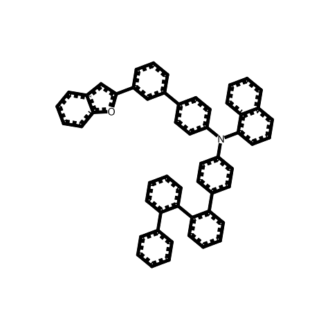 c1ccc(-c2ccccc2-c2ccccc2-c2ccc(N(c3ccc(-c4cccc(-c5cc6ccccc6o5)c4)cc3)c3cccc4ccccc34)cc2)cc1